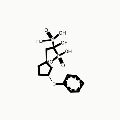 O=P(O)(O)C(O)(C[C@@H]1CC[C@@H](Oc2ccccc2)C1)P(=O)(O)O